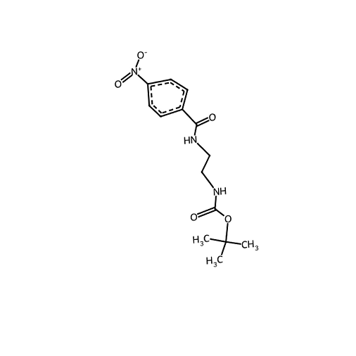 CC(C)(C)OC(=O)NCCNC(=O)c1ccc([N+](=O)[O-])cc1